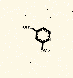 COc1cc([C]=O)ccn1